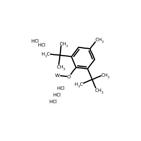 Cc1cc(C(C)(C)C)c([O][W])c(C(C)(C)C)c1.Cl.Cl.Cl.Cl.Cl